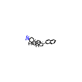 CN(C)[C@H]1CC[C@@]2(C)[C@@H](CC[C@@H]3[C@@H]2CC[C@]2(C)[C@@H](c4ccc5ccccc5c4)CC[C@@H]32)C1